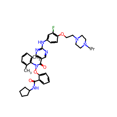 Cc1cccc(C)c1N(Oc1ccccc1C(=O)NC1CCCC1)C(=O)c1cnc(Nc2ccc(OCCN3CCN(C(C)C)CC3)c(F)c2)nc1